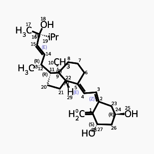 C=C1/C(=C\C=C2/CCC[C@]3(C)[C@@H]([C@H](C)/C=C/[C@@](C)(O)C(C)C)CC[C@@H]23)C[C@@H](O)C[C@@H]1O